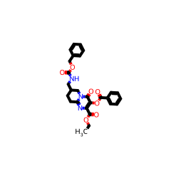 CCOC(=O)c1nc2n(c(=O)c1OC(=O)c1ccccc1)CC(CNC(=O)OCc1ccccc1)CC2